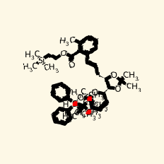 Cc1cccc(/C=C/C[C@@H]2OC(C)(C)O[C@@H]2C(/C=C\[C@@H](C)[C@H](C)O[Si](c2ccccc2)(c2ccccc2)C(C)(C)C)O[Si](C)(C)C(C)(C)C)c1C(=O)OCC[Si](C)(C)C